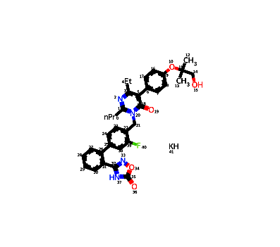 CCCc1nc(CC)c(-c2ccc(OC(C)(C)CO)cc2)c(=O)n1Cc1ccc(-c2ccccc2-c2noc(=O)[nH]2)cc1F.[KH]